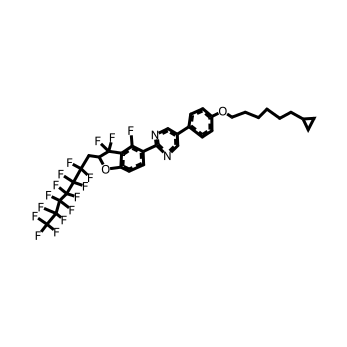 Fc1c(-c2ncc(-c3ccc(OCCCCCCC4CC4)cc3)cn2)ccc2c1C(F)(F)C(CC(F)(F)C(F)(F)C(F)(F)C(F)(F)C(F)(F)C(F)(F)F)O2